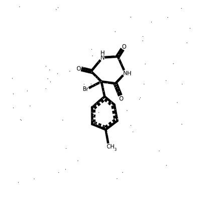 Cc1ccc(C2(Br)C(=O)NC(=O)NC2=O)cc1